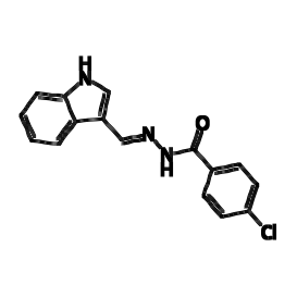 O=C(N/N=C/c1c[nH]c2ccccc12)c1ccc(Cl)cc1